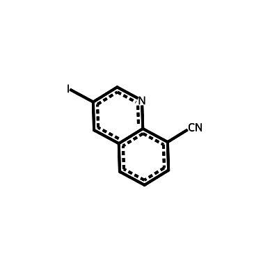 N#Cc1cccc2cc(I)cnc12